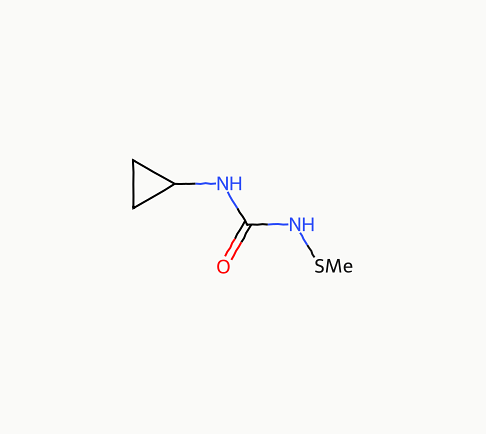 CSNC(=O)NC1CC1